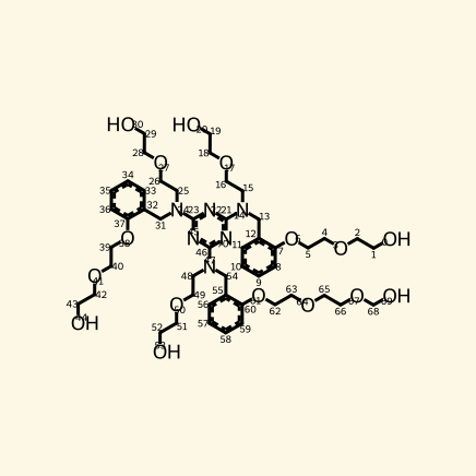 OCCOCCOc1ccccc1CN(CCOCCO)c1nc(N(CCOCCO)Cc2ccccc2OCCOCCO)nc(N(CCOCCO)Cc2ccccc2OCCOCCOCO)n1